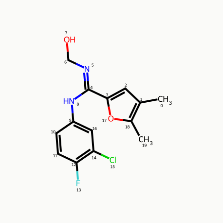 Cc1cc(/C(=N/CO)Nc2ccc(F)c(Cl)c2)oc1C